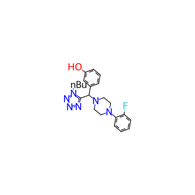 CCCCn1nnnc1C(c1cccc(O)c1)N1CCN(c2ccccc2F)CC1